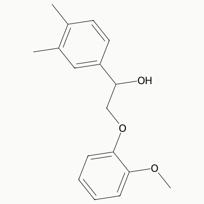 COc1ccccc1OCC(O)c1ccc(C)c(C)c1